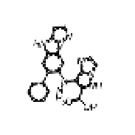 NN(c1cc2c(cc1-c1ccccc1)[nH]c1ccnn12)c1c(C(=O)O)[nH]n2ccnc12